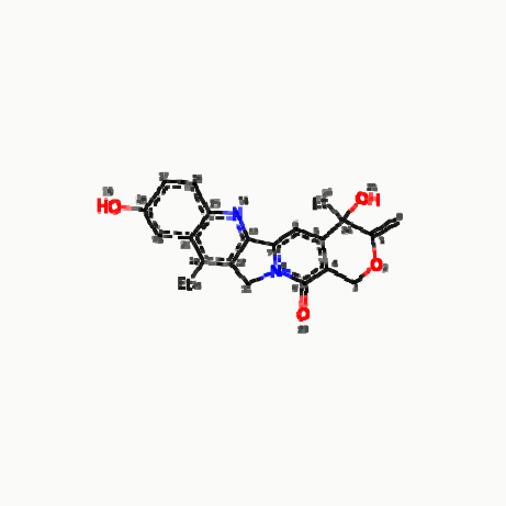 C=C1OCc2c(cc3n(c2=O)Cc2c-3nc3ccc(O)cc3c2C[11CH3])C1(O)CC